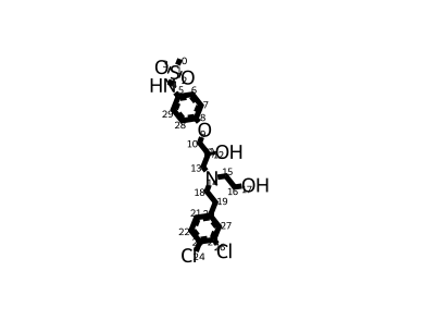 CS(=O)(=O)Nc1ccc(OC[C@@H](O)CN(CCO)CCc2ccc(Cl)c(Cl)c2)cc1